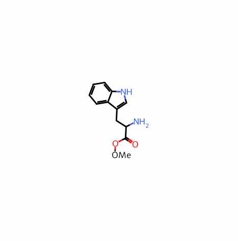 COOC(=O)C(N)Cc1c[nH]c2ccccc12